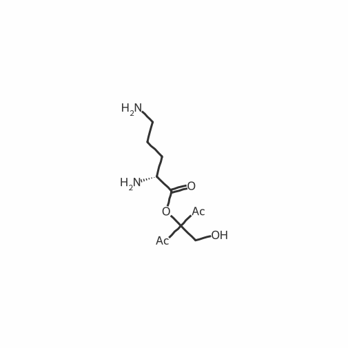 CC(=O)C(CO)(OC(=O)[C@H](N)CCCN)C(C)=O